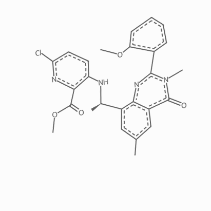 COC(=O)c1nc(Cl)ccc1N[C@H](C)c1cc(C)cc2c(=O)n(C)c(-c3ccccc3OC)nc12